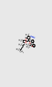 CC(C)=CCC/C(C)=C/[C@@H]1CC(C)=C[C@]2(C=C(CO[Si](c3ccccc3)(c3ccccc3)C(C)(C)C)[C@H]3CC(N=[N+]=[N-])C(C)=C[C@H]3O2)O1